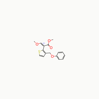 CO/C=C(/C(=O)OC)c1sccc1COc1ccccc1